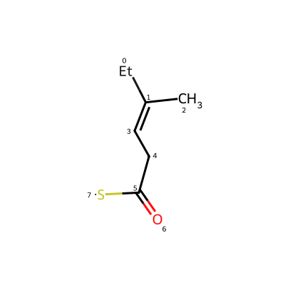 CC/C(C)=C/CC(=O)[S]